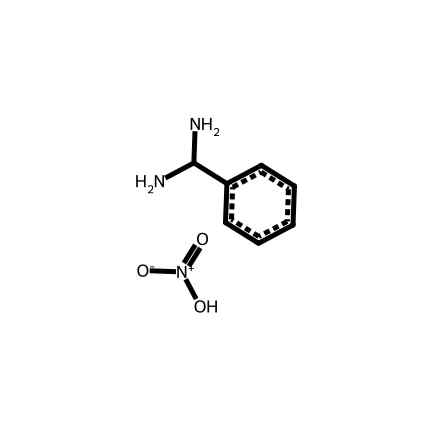 NC(N)c1ccccc1.O=[N+]([O-])O